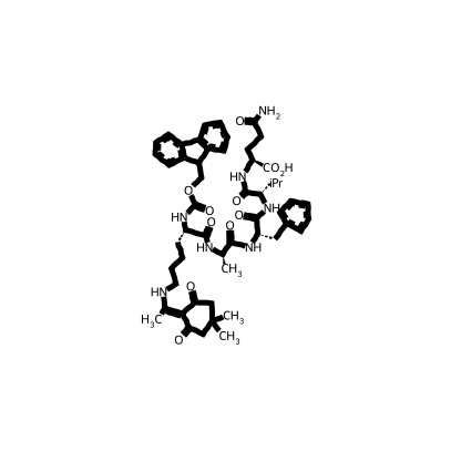 CC(NCCCC[C@H](NC(=O)OCC1c2ccccc2-c2ccccc21)C(=O)N[C@@H](C)C(=O)N[C@@H](Cc1ccccc1)C(=O)N[C@H](C(=O)N[C@@H](CCC(N)=O)C(=O)O)C(C)C)=C1C(=O)CC(C)(C)CC1=O